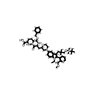 CCn1c(-c2cccnc2[C@H](C)OC)c(CC(C)(C)CO[Si](C)(C)C(C)(C)C)c2cc(N3CCOC(CC(NC(=O)OCc4ccccc4)C(=O)N4CCCC(C(=O)O)N4)C3)ccc21